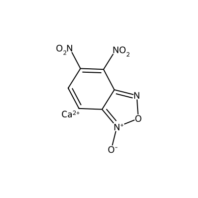 O=[N+]([O-])c1ccc2c(no[n+]2[O-])c1[N+](=O)[O-].[Ca+2]